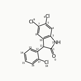 O=C1Nc2cc(Cl)c(Cl)cc2C1c1ccccc1Cl